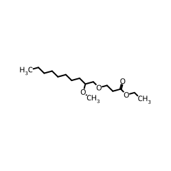 CCCCCCCCC(COCCC(=O)OCC)OC